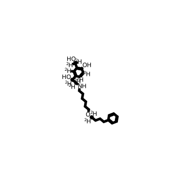 [2H]c1c([2H])c(C([2H])(O)C([2H])([2H])NCCCCCCOC([2H])([2H])CCCc2ccccc2)c([2H])c(C([2H])([2H])O)c1O